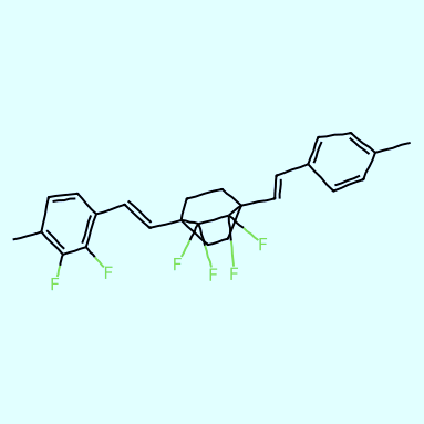 Cc1ccc(/C=C/C23CCC(/C=C/c4ccc(C)c(F)c4F)(CC2)C(F)(F)C3(F)F)cc1